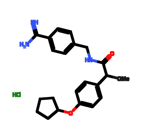 COC(C(=O)NCc1ccc(C(=N)N)cc1)c1ccc(OC2CCCC2)cc1.Cl